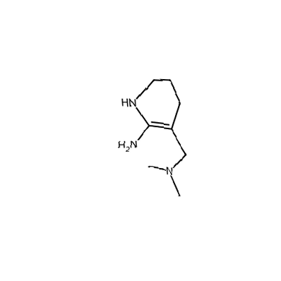 CN(C)CC1=C(N)NCCC1